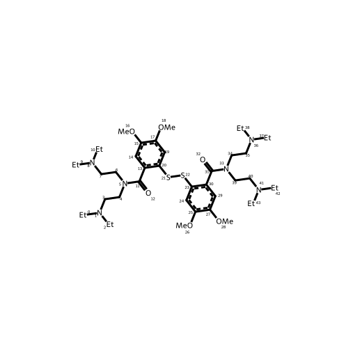 CCN(CC)CCN(CCN(CC)CC)C(=O)c1cc(OC)c(OC)cc1SSc1cc(OC)c(OC)cc1C(=O)N(CCN(CC)CC)CCN(CC)CC